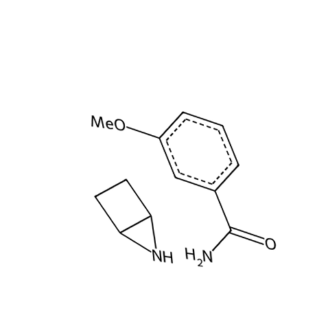 C1CC2NC12.COc1cccc(C(N)=O)c1